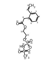 C=Cc1ccccc1CC(=O)OCCOS(=O)(=O)NS(=O)(=O)C(F)(F)F